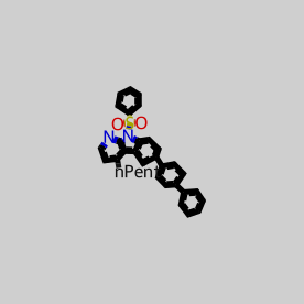 CCCCCc1ccnc2c1c1cc(-c3ccc(-c4ccccc4)cc3)ccc1n2S(=O)(=O)c1ccccc1